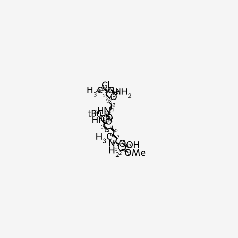 COC1=CC[C@@H]([C@@H](N)/C=C(C)/C=C\C=C/C(=O)N[C@H](C(=O)N/C=C\C[C@H](C/C=C(\C)Cl)OC(N)=O)C(C)(C)C)O[C@H]1O